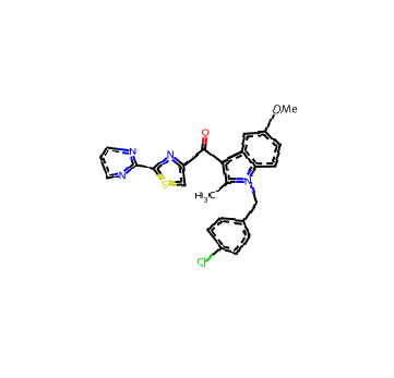 COc1ccc2c(c1)c(C(=O)c1csc(-c3ncccn3)n1)c(C)n2Cc1ccc(Cl)cc1